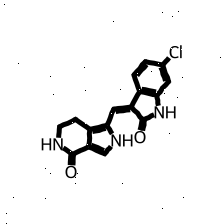 O=C1Nc2cc(Cl)ccc2C1=Cc1[nH]cc2c1CCNC2=O